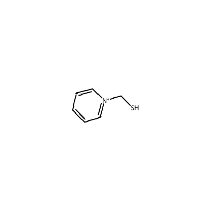 SC[n+]1ccccc1